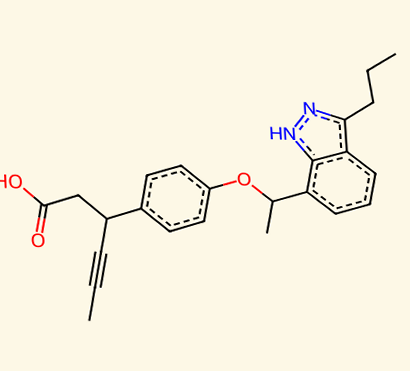 CC#CC(CC(=O)O)c1ccc(OC(C)c2cccc3c(CCC)n[nH]c23)cc1